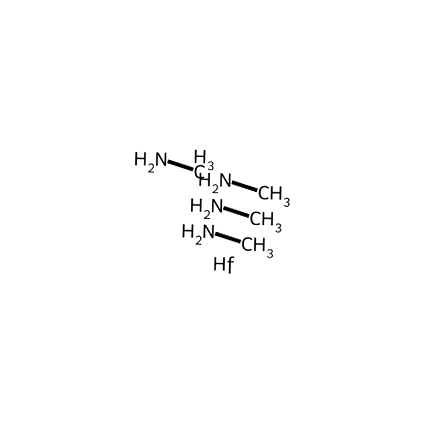 CN.CN.CN.CN.[Hf]